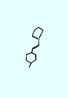 CC1CCC(C=CN2CCCCC2)CC1